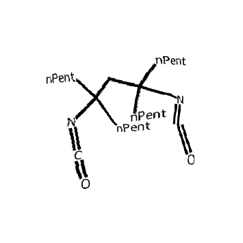 CCCCCC(CCCCC)(CC(CCCCC)(CCCCC)N=C=O)N=C=O